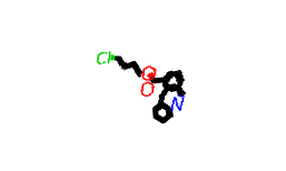 O=C(OCCCCCl)c1cccc2c1Cc1ccccc1N=C2